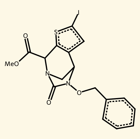 COC(=O)C1c2sc(I)cc2C2CN1C(=O)N2OCc1ccccc1